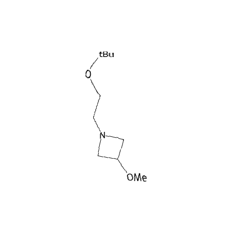 COC1CN(CCOC(C)(C)C)C1